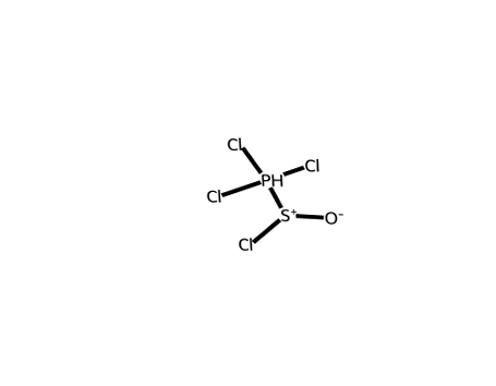 [O-][S+](Cl)[PH](Cl)(Cl)Cl